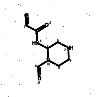 C=CC(=O)NC1CNCCN1[C]=O